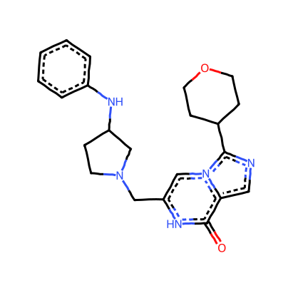 O=c1[nH]c(CN2CCC(Nc3ccccc3)C2)cn2c(C3CCOCC3)ncc12